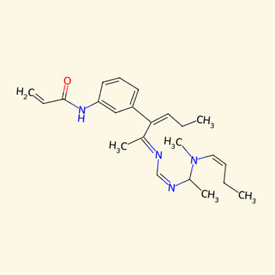 C=CC(=O)Nc1cccc(C(=C/CC)/C(C)=N/C=N\C(C)N(C)/C=C\CC)c1